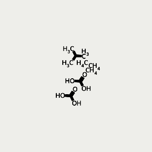 C.C.C.CC(C)C.O=C(O)O.O=C(O)O